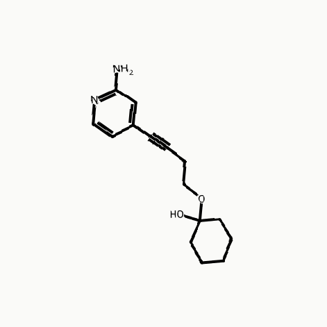 Nc1cc(C#CCCOC2(O)CCCCC2)ccn1